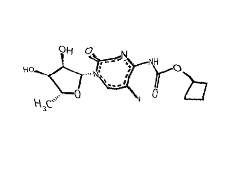 C[C@H]1O[C@@H](n2cc(I)c(NC(=O)OC3CCC3)nc2=O)[C@H](O)[C@@H]1O